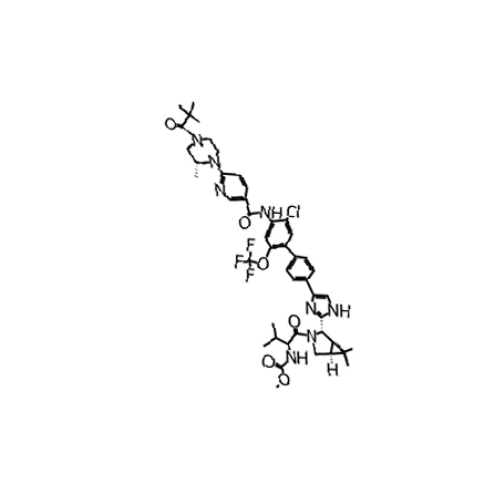 COC(=O)N[C@H](C(=O)N1C[C@H]2C([C@H]1c1nc(-c3ccc(-c4cc(Cl)c(NC(=O)c5ccc(N6CCN(C(=O)C(C)(C)C)C[C@H]6C)nc5)cc4OC(F)(F)F)cc3)c[nH]1)C2(C)C)C(C)C